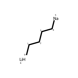 CCCC[CH2][Na].[LiH]